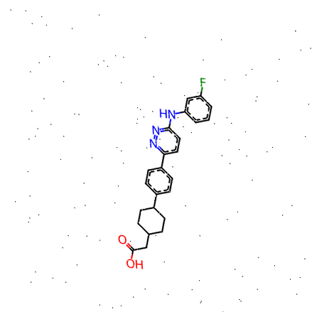 O=C(O)CC1CCC(c2ccc(-c3ccc(Nc4cccc(F)c4)nn3)cc2)CC1